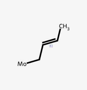 C/C=C/[CH2][Mo]